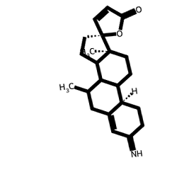 CC1CC2=CC(=N)CC[C@@H]2C2CC[C@@]3(C)C(CC[C@@]34C=CC(=O)O4)C12